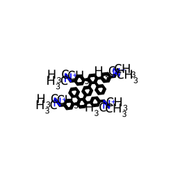 C[N+](C)(C)Cc1ccc(-c2ccc(-c3ccc(C[N+](C)(C)C)cc3)c(-c3ccc(-c4c(-c5ccc(C[N+](C)(C)C)cc5)ccc(-c5ccc(C[N+](C)(C)C)cc5)c4-c4ccccc4)cc3)c2-c2ccccc2)cc1